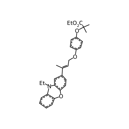 CCOC(=O)C(C)(C)Oc1ccc(OC/C=C(\C)c2ccc3c(c2)N(CC)c2ccccc2O3)cc1